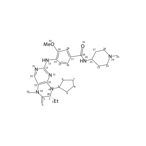 C=C1[C@@H](CC)N(C2CCCC2)c2nc(Nc3ccc(C(=O)NC4CCN(C)CC4)cc3OC)ncc2N1C